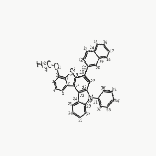 COc1cccc2c1sc1c(-c3ccc4ccccc4c3)cc3c(c4ccccc4n3-c3ccccc3)c12